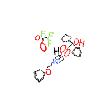 O=C(O[C@H]1C[N+]2(CCCOc3ccccc3)CCC1CC2)[C@](O)(c1ccccc1)C1CCCC1.O=C([O-])C(F)(F)F